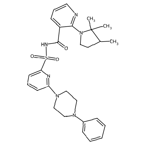 CC1CCN(c2ncccc2C(=O)NS(=O)(=O)c2cccc(N3CCN(c4ccccc4)CC3)n2)C1(C)C